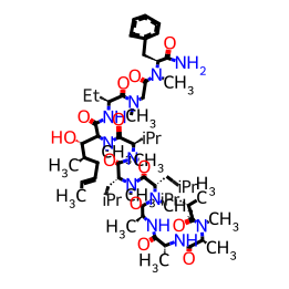 C/C=C/C[C@@H](C)[C@H](O)C(C(=O)N[C@@H](CC)C(=O)N(C)CC(=O)N(C)[C@@H](Cc1ccccc1)C(N)=O)N(C)C(=O)[C@@H](C(C)C)N(C)C(=O)[C@@H](CC(C)C)N(C)C(=O)[C@H](CC(C)C)N(C)C(=O)[C@H](C)NC(=O)[C@@H](C)NC(=O)[C@H](C)N(C)C(=O)[C@@H](C)C(C)C